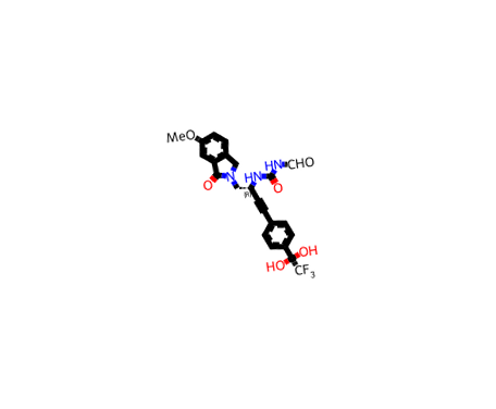 COc1ccc2c(c1)C(=O)N(C[C@@H](C#Cc1ccc(C(O)(O)C(F)(F)F)cc1)NC(=O)NC=O)C2